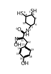 O=C(NC1CCC(S)C(S)C1)/C(Cc1ccc(O)cc1)=N/O